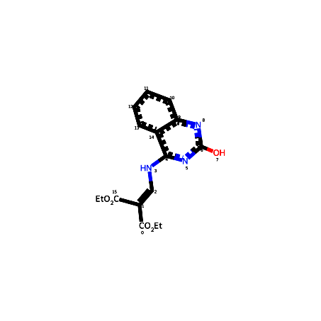 CCOC(=O)C(=CNc1nc(O)nc2ccccc12)C(=O)OCC